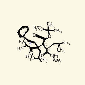 CC(C)C[C@@H](C(=O)NN)[C@H](C(=O)OC(C)(C)C)C(/C=C/c1ccccc1)(CC(C)C)C(=O)C(C)C